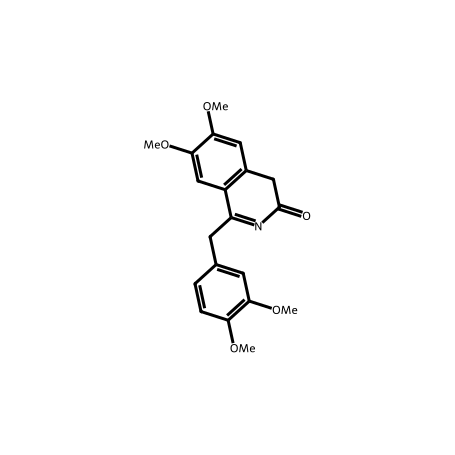 COc1ccc(CC2=NC(=O)Cc3cc(OC)c(OC)cc32)cc1OC